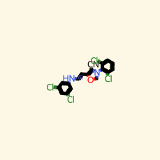 N#CC1=C(/C=C/Nc2cc(Cl)cc(Cl)c2)OCN1c1c(Cl)cccc1Cl